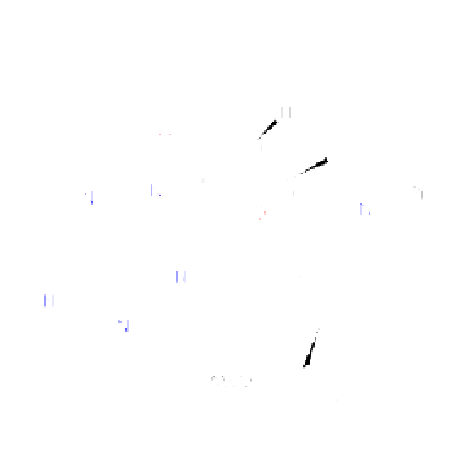 COC(=O)[C@H]1C[C@H](N(C[C@H]2OC[C@@]3(n4cnc5c(N)ncnc54)OC(C)(C)O[C@H]23)C(C)C)C1